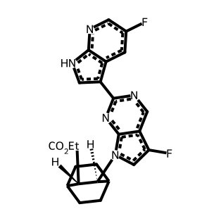 CCOC(=O)[C@H]1C2CCC(CC2)[C@@H]1n1cc(F)c2cnc(-c3c[nH]c4ncc(F)cc34)nc21